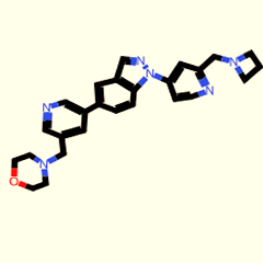 c1cc(-n2ncc3cc(-c4cncc(CN5CCOCC5)c4)ccc32)cc(CN2CCC2)n1